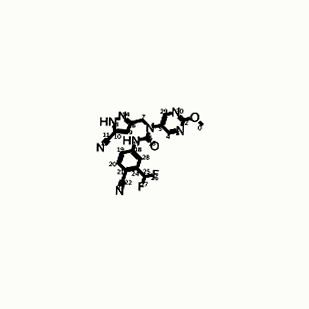 COc1ncc(N(Cc2cc(C#N)[nH]n2)C(=O)Nc2ccc(C#N)c(C(F)F)c2)cn1